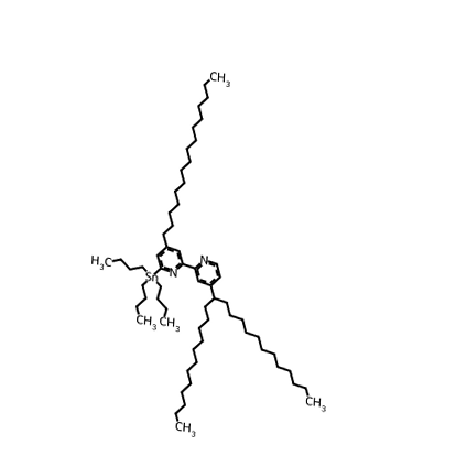 CCCCCCCCCCCCCCCCc1cc(-c2cc(C(CCCCCCCCCCCC)CCCCCCCCCCCC)ccn2)n[c]([Sn]([CH2]CCC)([CH2]CCC)[CH2]CCC)c1